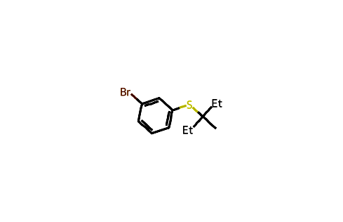 CCC(C)(CC)Sc1cccc(Br)c1